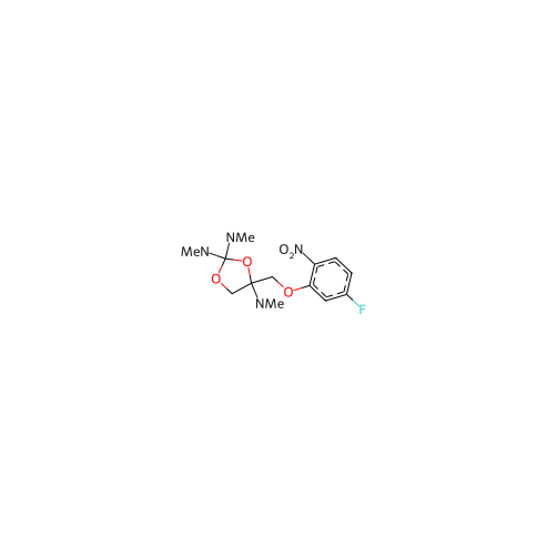 CNC1(COc2cc(F)ccc2[N+](=O)[O-])COC(NC)(NC)O1